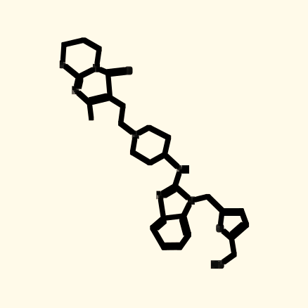 Cc1nc2n(c(=O)c1CCN1CCC(Nc3nc4ccccc4n3Cc3ccc(CO)o3)CC1)CCCS2